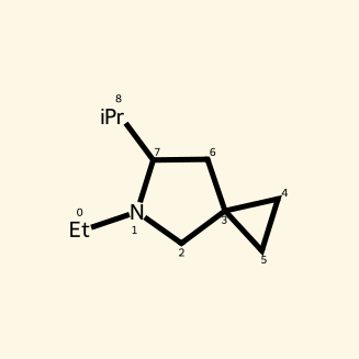 CCN1CC2(CC2)CC1C(C)C